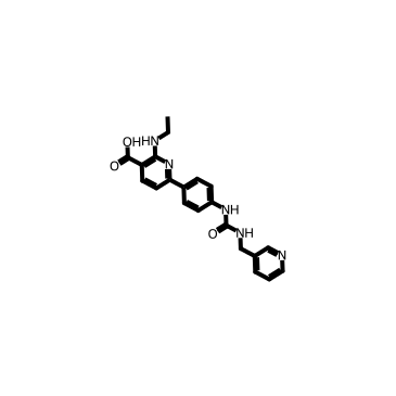 CCNc1nc(-c2ccc(NC(=O)NCc3cccnc3)cc2)ccc1C(=O)O